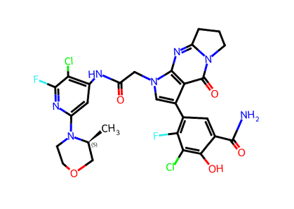 C[C@H]1COCCN1c1cc(NC(=O)Cn2cc(-c3cc(C(N)=O)c(O)c(Cl)c3F)c3c(=O)n4c(nc32)CCC4)c(Cl)c(F)n1